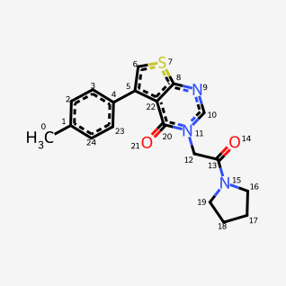 Cc1ccc(-c2csc3ncn(CC(=O)N4CCCC4)c(=O)c23)cc1